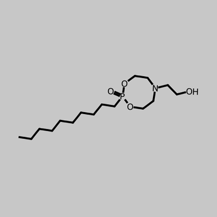 CCCCCCCCCCP1(=O)OCCN(CCO)CCO1